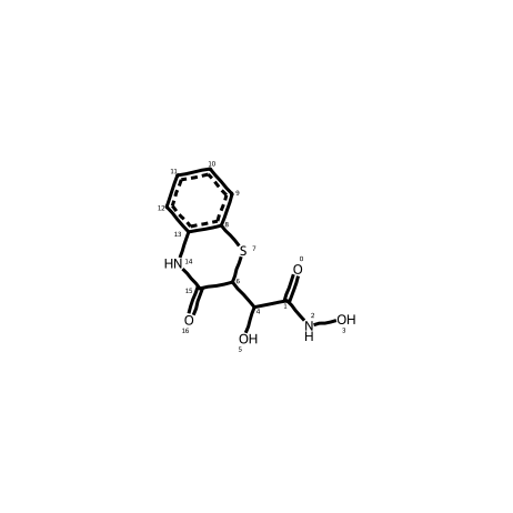 O=C(NO)C(O)C1Sc2ccccc2NC1=O